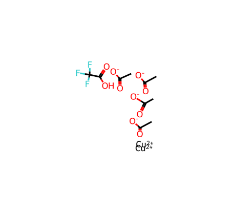 CC(=O)[O-].CC(=O)[O-].CC(=O)[O-].CC(=O)[O-].O=C(O)C(F)(F)F.[Cu+2].[Cu+2]